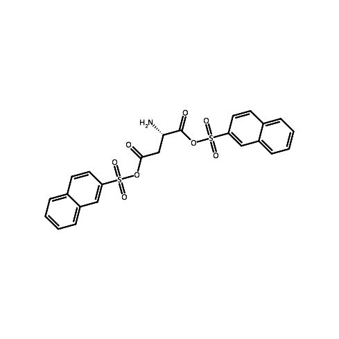 N[C@@H](CC(=O)OS(=O)(=O)c1ccc2ccccc2c1)C(=O)OS(=O)(=O)c1ccc2ccccc2c1